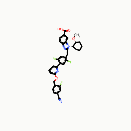 CO[C@@H]1CCCC[C@@H]1n1c(Cc2cc(F)c(-c3cccc(OCc4ccc(C#N)cc4F)n3)cc2F)nc2ccc(C(=O)O)cc21